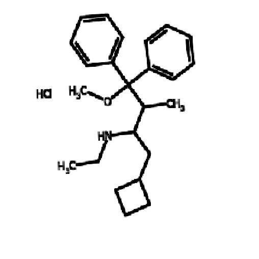 CCNC(CC1CCC1)C(C)C(OC)(c1ccccc1)c1ccccc1.Cl